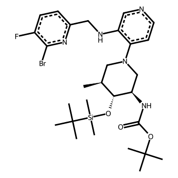 C[C@H]1CN(c2ccncc2NCc2ccc(F)c(Br)n2)C[C@@H](NC(=O)OC(C)(C)C)[C@@H]1O[Si](C)(C)C(C)(C)C